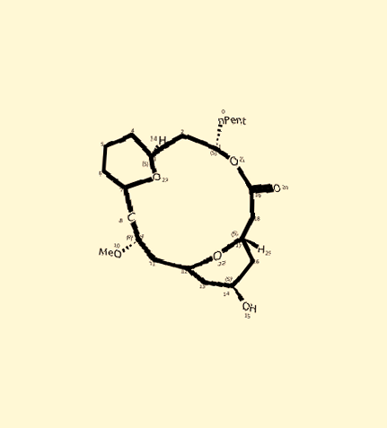 CCCCC[C@H]1C[C@@H]2CCCC(C[C@@H](OC)CC3C[C@H](O)C[C@@H](CC(=O)O1)O3)O2